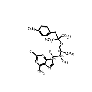 CO[C@H](COC(Cc1ccc([N+](=O)[O-])cc1)(C(=O)O)C(=O)O)[C@@H](O)[C@H](F)n1cnc2c(N)nc(Cl)nc21